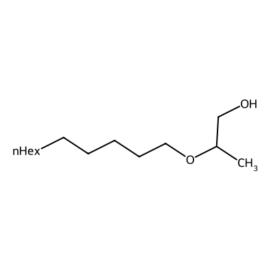 CCCCCCCCCCCOC(C)CO